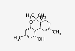 CC1=CC2c3c(O)cc(C)cc3OC(C)(C)[C@@H]2CC1